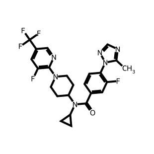 Cc1ncnn1-c1ccc(C(=O)N(C2CC2)C2CCN(c3ncc(C(F)(F)F)cc3F)CC2)cc1F